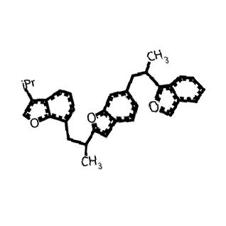 CC(C)c1coc2c(CC(C)c3cc4ccc(CC(C)c5occ6ccccc56)cc4o3)cccc12